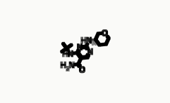 CC(C)(C)Nc1nc(N[C@H]2CCCOC2)ncc1C(N)=O